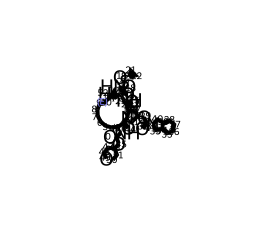 O=C(N[C@H]1CCCCC/C=C/[C@@H]2C[C@@]2(C(=O)NS(=O)(=O)C2CC2)NC(=O)[C@@H]2C[C@@H](OC(=O)N3Cc4ccccc4C3)CN2C1=O)OC1CCOCC1